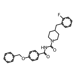 O=C(NC(=O)N1CCC(Cc2ccccc2F)CC1)c1ccc(OCc2ccccc2)cc1